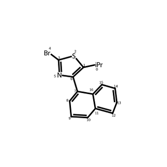 CC(C)c1sc(Br)nc1-c1cccc2ccccc12